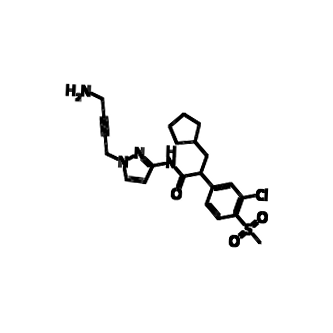 CS(=O)(=O)c1ccc(C(CC2CCCC2)C(=O)Nc2ccn(CC#CCN)n2)cc1Cl